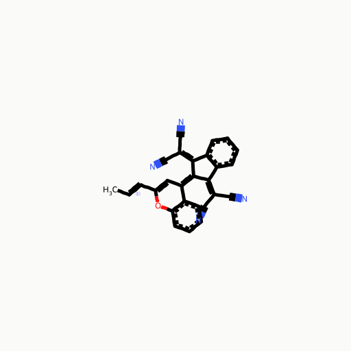 C/C=C/C1=CC(=C2C(=C(C#N)C#N)c3ccccc3C2=C(C#N)C#N)c2ccccc2O1